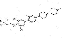 CCc1cc(-c2ccc(C3CCC(C4CCC(C)CC4)CC3)cc2F)cc(CC)c1OCCC(CC)(CC)CC